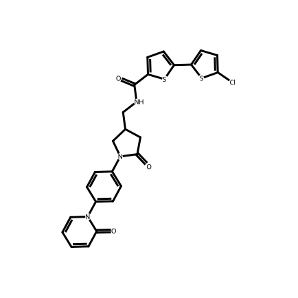 O=C(NCC1CC(=O)N(c2ccc(-n3ccccc3=O)cc2)C1)c1ccc(-c2ccc(Cl)s2)s1